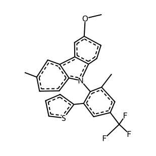 COc1ccc2c(c1)c1cc(C)ccc1n2-c1c(C)cc(C(F)(F)F)cc1-c1cccs1